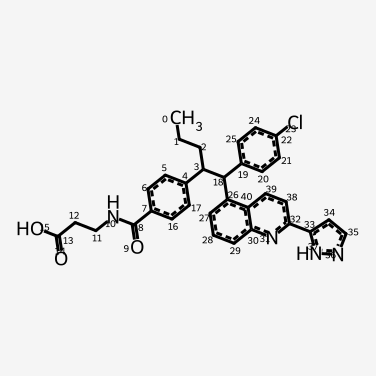 CCCC(c1ccc(C(=O)NCCC(=O)O)cc1)C(c1ccc(Cl)cc1)c1cccc2nc(-c3ccn[nH]3)ccc12